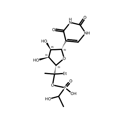 CCC(C)(OP(=O)(O)C(C)O)[C@H]1O[C@@H](c2c[nH]c(=O)[nH]c2=O)[C@H](O)[C@@H]1O